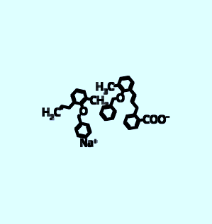 C=CCc1cccc(C)c1OCc1ccccc1.Cc1cccc(C=CCc2ccccc2C(=O)[O-])c1OCc1ccccc1.[Na+]